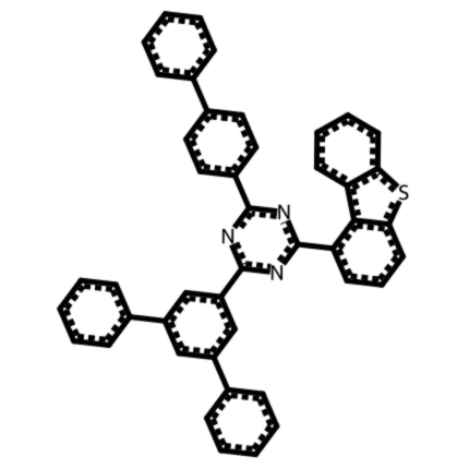 c1ccc(-c2ccc(-c3nc(-c4cc(-c5ccccc5)cc(-c5ccccc5)c4)nc(-c4cccc5sc6ccccc6c45)n3)cc2)cc1